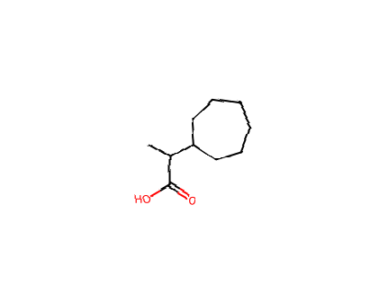 CC(C(=O)O)C1CCCCCC1